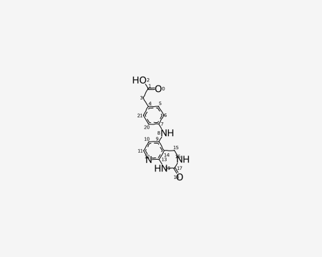 O=C(O)Cc1ccc(Nc2ccnc3c2CNC(=O)N3)cc1